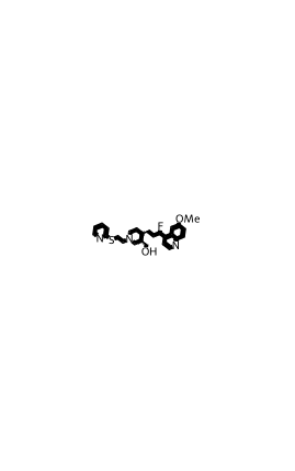 COc1ccc2nccc(C(F)CC[C@@H]3CCN(CCSc4ccccn4)C[C@@H]3CO)c2c1